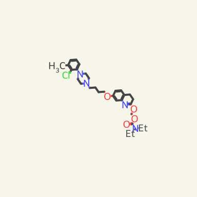 CCN(CC)C(=O)OCOC1=Nc2cc(OCCCCN3CCN(c4cccc(C)c4Cl)CC3)ccc2CC1